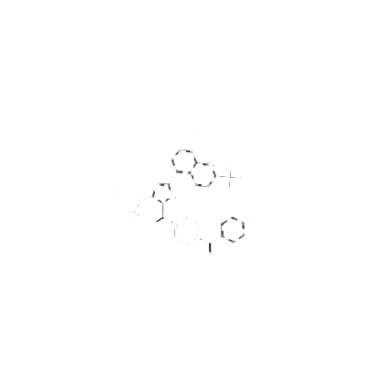 COc1ccc(-c2nc(C(=O)N3CCN(C(=S)c4ccc(C)cc4)CC3)c([C@@H](C)N)o2)c2ccc(C(F)(F)F)nc12